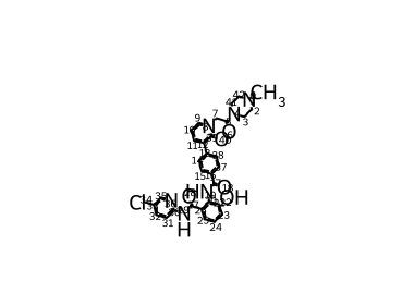 CN1CCN(C(=O)Cn2cccc(-c3ccc(C(=O)Nc4c(O)cccc4C(=O)Nc4ccc(Cl)cn4)cc3)c2=O)CC1